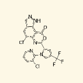 O=c1oc(-c2cc(C(F)(F)F)cn2-c2ncccc2Cl)nc2c(Cl)cc3cn[nH]c3c12